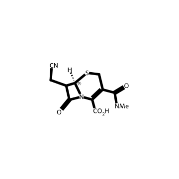 CNC(=O)C1=C(C(=O)O)N2C(=O)C(CC#N)[C@H]2SC1